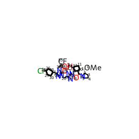 COC[C@@H]1CCCN1C(=O)c1cccc(C(F)(F)F)c1-n1cnc(Cn2nc(-c3ccc(Cl)cc3)n(C[C@H](O)C(F)(F)F)c2=O)n1